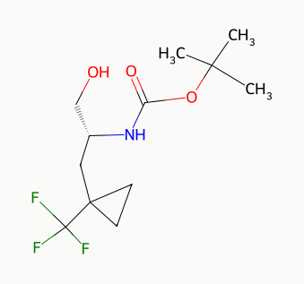 CC(C)(C)OC(=O)N[C@@H](CO)CC1(C(F)(F)F)CC1